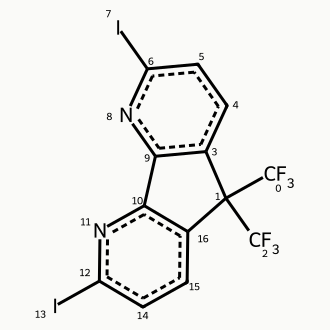 FC(F)(F)C1(C(F)(F)F)c2ccc(I)nc2-c2nc(I)ccc21